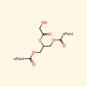 CCCCCC(=O)OCC(COC(=O)CCCCC)OC(=O)CO